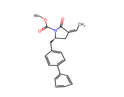 CC=C1C[C@@H](Cc2ccc(-c3ccccc3)cc2)N(C(=O)OC(C)(C)C)C1=O